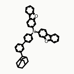 c1cc(-c2ccc(N(c3ccc4c(c3)oc3ccccc34)c3ccc4c(c3)oc3ccccc34)cc2)cc(C2C3CC4CC(C3)CC2C4)c1